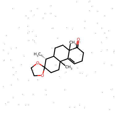 C[C@@H]1C2CCC3(C)C(=O)CCC=C3C2(C)CCC12OCCO2